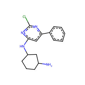 NC1CCCC(Nc2cc(-c3ccccc3)nc(Cl)n2)C1